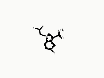 CC(=O)c1cn(CC(F)F)c2ccc(F)cc12